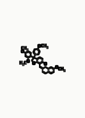 COc1ccc(C2(c3ccc(OC)cc3OC)COc3c2ccc2c3C=C3C=Cc4ccc(OC)cc4C3O2)cc1